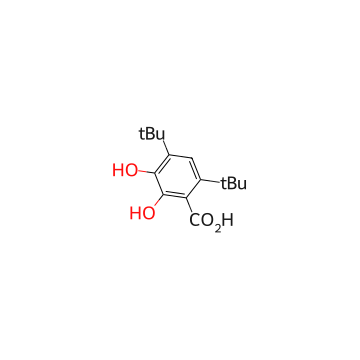 CC(C)(C)c1cc(C(C)(C)C)c(C(=O)O)c(O)c1O